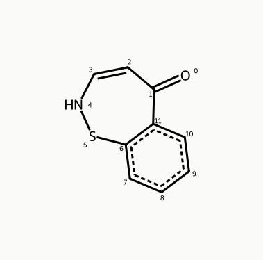 O=C1C=CNSc2ccccc21